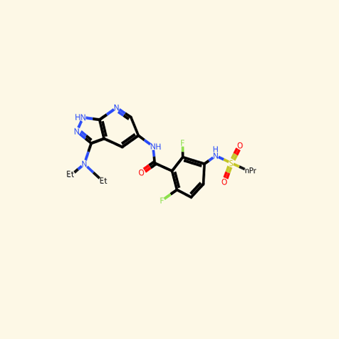 CCCS(=O)(=O)Nc1ccc(F)c(C(=O)Nc2cnc3[nH]nc(N(CC)CC)c3c2)c1F